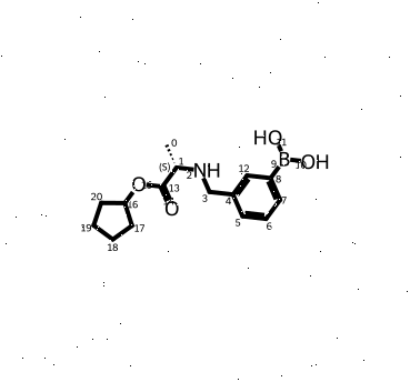 C[C@H](NCc1cccc(B(O)O)c1)C(=O)OC1CCCC1